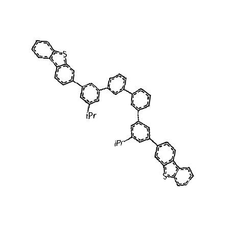 CC(C)c1cc(-c2cccc(-c3cccc(-c4cc(-c5ccc6c(c5)sc5ccccc56)cc(C(C)C)c4)c3)c2)cc(-c2ccc3c(c2)sc2ccccc23)c1